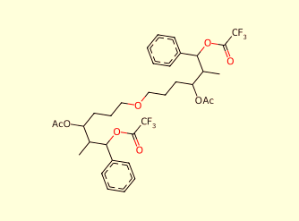 CC(=O)OC(CCCOCCCC(OC(C)=O)C(C)C(OC(=O)C(F)(F)F)c1ccccc1)C(C)C(OC(=O)C(F)(F)F)c1ccccc1